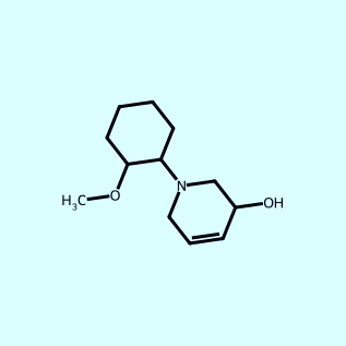 COC1CCCCC1N1CC=CC(O)C1